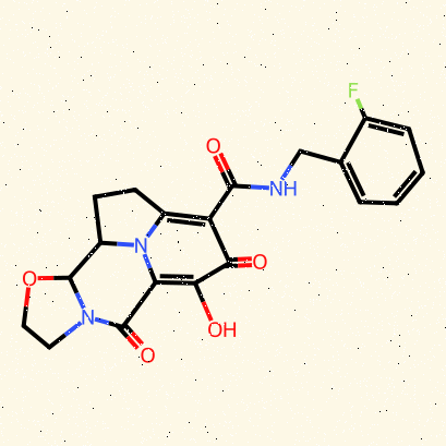 O=C(NCc1ccccc1F)c1c2n3c(c(O)c1=O)C(=O)N1CCOC1C3CC2